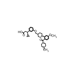 COc1ccc(C(=O)N2CCN(C)CC2)c(N2CCC(COc3cccc(C(CC(=O)O)C4CC4)c3)CC2)c1